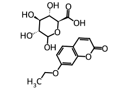 CCOc1ccc2ccc(=O)oc2c1.O=C(O)[C@H]1OC(O)[C@H](O)[C@@H](O)[C@@H]1O